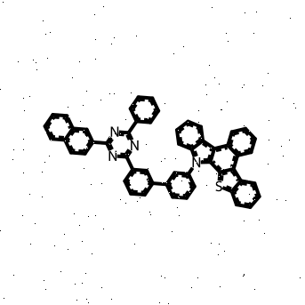 c1ccc(-c2nc(-c3cccc(-c4cccc(-n5c6ccccc6c6c7ccccc7c7c8ccccc8sc7c65)c4)c3)nc(-c3ccc4ccccc4c3)n2)cc1